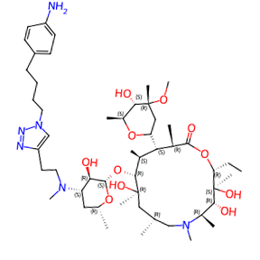 CC[C@H]1OC(=O)[C@H](C)[C@@H](C2C[C@@](C)(OC)[C@@H](O)[C@H](C)O2)[C@H](C)[C@@H](O[C@@H]2O[C@H](C)C[C@H](N(C)CCc3cn(CCCCc4ccc(N)cc4)nn3)[C@H]2O)[C@](C)(O)C[C@@H](C)CN(C)[C@H](C)[C@@H](O)[C@]1(C)O